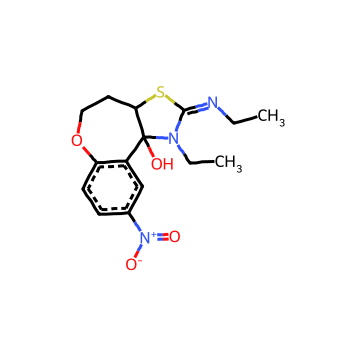 CCN=C1SC2CCOc3ccc([N+](=O)[O-])cc3C2(O)N1CC